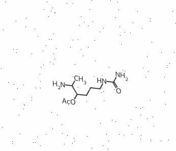 CC(=O)OC(CCCNC(N)=O)C(C)N